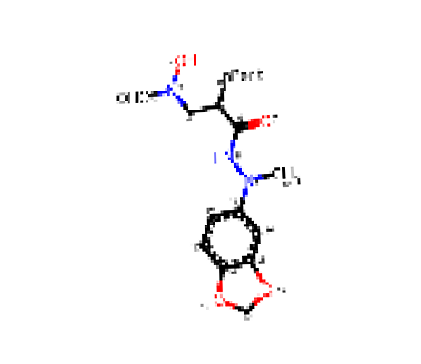 CCCCCC(CN(O)C=O)C(=O)NN(C)c1ccc2c(c1)OCO2